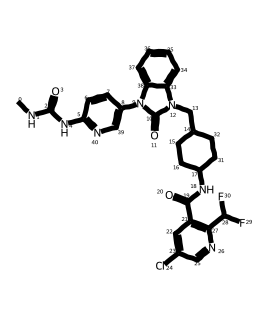 CNC(=O)Nc1ccc(-n2c(=O)n(CC3CCC(NC(=O)c4cc(Cl)cnc4C(F)F)CC3)c3ccccc32)cn1